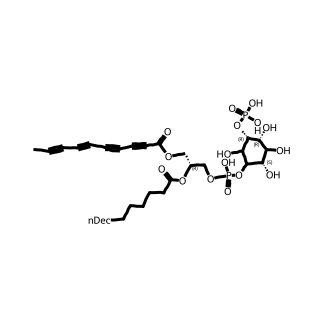 CC#CC#CC#CC#CC(=O)OC[C@H](COP(=O)(O)OC1C(O)[C@H](OP(=O)(O)O)[C@H](O)C(O)[C@@H]1O)OC(=O)CCCCCCCCCCCCCCC